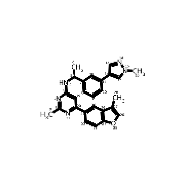 Cc1nc(N[C@@H](C)c2cccc(-c3cnn(C)c3)c2)cc(-c2ccc3occ(C)c3c2)n1